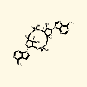 Nc1ncnc2c1ccn2[C@@H]1O[C@@H]2COP(=O)(S)O[C@H]3[C@@H](O)[C@H](n4cnc5c(N)ncnc54)O[C@@H]3COP(O)(=S)O[C@@H]1[C@@H]2O